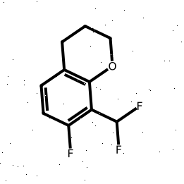 Fc1ccc2c(c1C(F)F)OCCC2